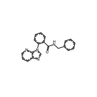 O=C(NCc1ccccc1)c1ccccc1-n1cnc2cccnc21